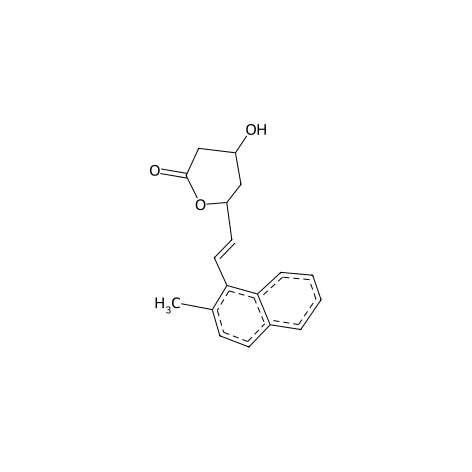 Cc1ccc2ccccc2c1C=CC1CC(O)CC(=O)O1